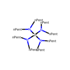 CCCCC[N](CCCCC)[Zr]([N](CCCCC)CCCCC)([N](CCCCC)CCCCC)[N](CCCCC)CCCCC